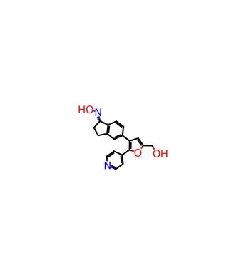 OCc1cc(-c2ccc3c(c2)CCC3=NO)c(-c2ccncc2)o1